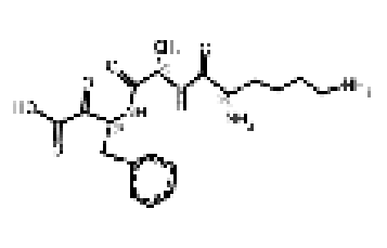 C[C@H](NC(=O)[C@@H](N)CCCCN)C(=O)N[C@@H](Cc1ccccc1)C(=O)C(=O)O